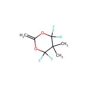 C=C1OC(F)(F)C(C)(C)C(F)(F)O1